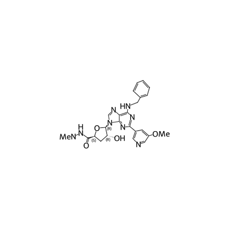 CNNC(=O)[C@@H]1C[C@@H](O)[C@H](n2cnc3c(NCc4ccccc4)nc(-c4cncc(OC)c4)nc32)O1